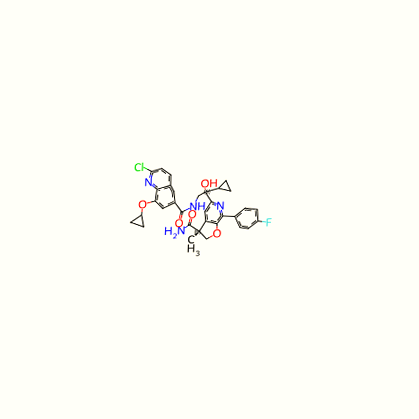 C[C@]1(C(N)=O)COc2c1cc([C@@](O)(CNC(=O)c1cc(OC3CC3)c3nc(Cl)ccc3c1)C1CC1)nc2-c1ccc(F)cc1